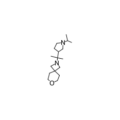 CC(C)N1CCC(C(C)(C)N2CC3(CCOCC3)C2)C1